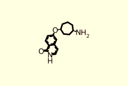 N[C@@H]1CCC[C@H](Oc2ccc3c(=O)[nH]ccc3c2)CC1